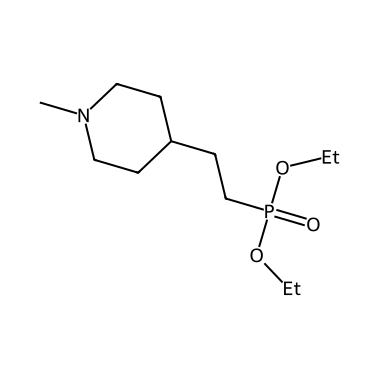 CCOP(=O)(CCC1CCN(C)CC1)OCC